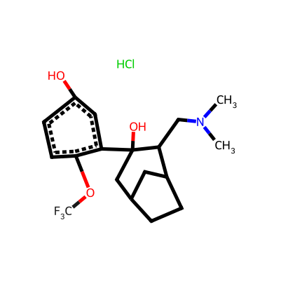 CN(C)CC1C2CCC(C2)CC1(O)c1cc(O)ccc1OC(F)(F)F.Cl